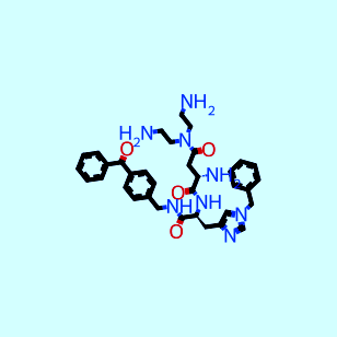 NCCN(CCN)C(=O)C[C@H](N)C(=O)N[C@@H](Cc1cn(Cc2ccccc2)cn1)C(=O)NCc1ccc(C(=O)c2ccccc2)cc1